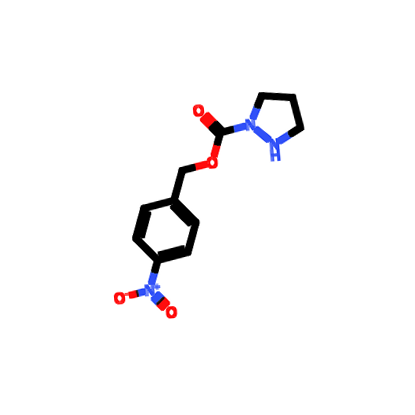 O=C(OCc1ccc([N+](=O)[O-])cc1)N1CCCN1